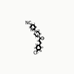 N#Cc1ccc(N2CCN(C(=O)C=Cc3ccc(Cl)cc3)CC2)nc1